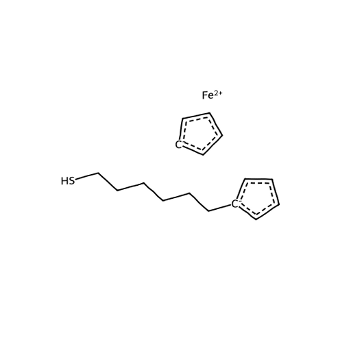 SCCCCCC[c-]1cccc1.[Fe+2].c1cc[cH-]c1